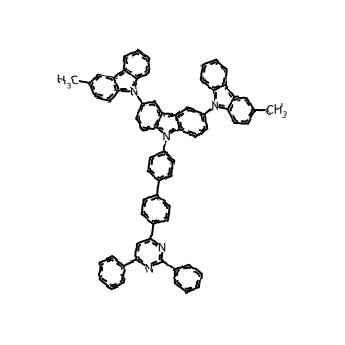 Cc1ccc2c(c1)c1ccccc1n2-c1ccc2c(c1)c1cc(-n3c4ccccc4c4cc(C)ccc43)ccc1n2-c1ccc(-c2ccc(-c3cc(-c4ccccc4)nc(-c4ccccc4)n3)cc2)cc1